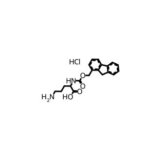 Cl.NCCCC(NC(=O)OCc1cccc2c1Cc1ccccc1-2)C(=O)O